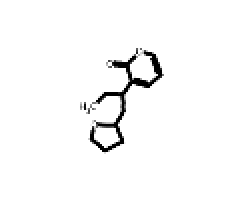 CCC(CC1CCCO1)c1cccoc1=O